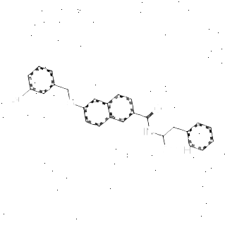 O=C(NC(Cc1ccccc1)C(=O)O)c1ccc2cc(OCc3cccc(Br)c3)ccc2c1